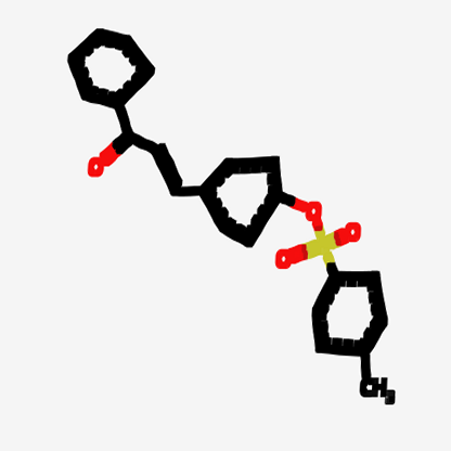 Cc1ccc(S(=O)(=O)Oc2ccc(C=CC(=O)c3ccccc3)cc2)cc1